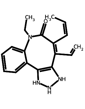 C=Cc1c(/C=C\C)c(=O)n(CC)c2ccccc2c2[nH][nH][nH]c1=2